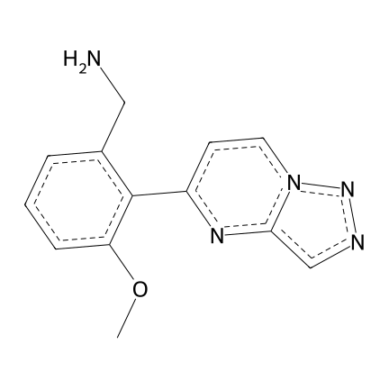 COc1cccc(CN)c1-c1ccn2nncc2n1